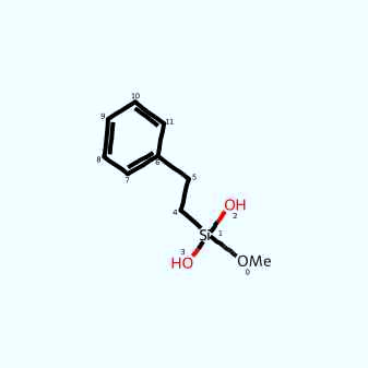 CO[Si](O)(O)CCc1ccccc1